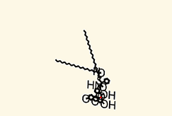 CCCCCCCCCCCCCCCCCCN(CCCCCCCCCCCCCCCCCC)C(=O)CCSC(C(=O)Nc1ccc(-c2c3ccc(=O)cc-3oc3cc(O)ccc23)c(C(=O)O)c1)c1ccccc1